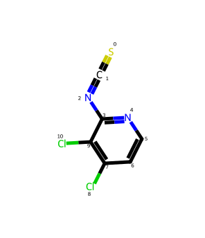 S=C=Nc1nccc(Cl)c1Cl